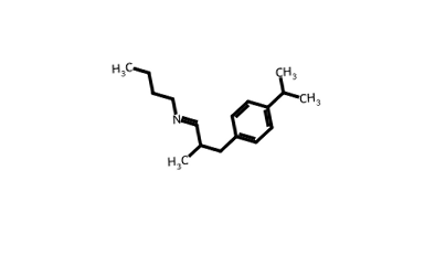 CCCC/N=C/C(C)Cc1ccc(C(C)C)cc1